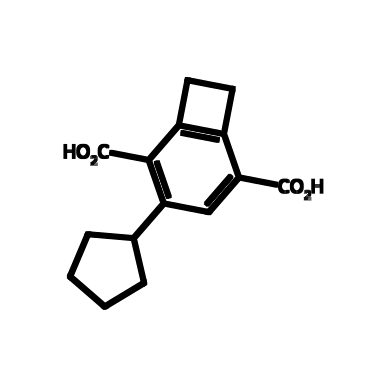 O=C(O)c1cc(C2CCCC2)c(C(=O)O)c2c1CC2